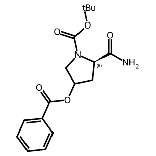 CC(C)(C)OC(=O)N1CC(OC(=O)c2ccccc2)C[C@@H]1C(N)=O